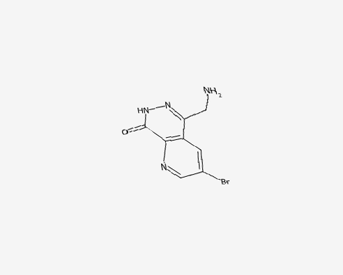 NCc1n[nH]c(=O)c2ncc(Br)cc12